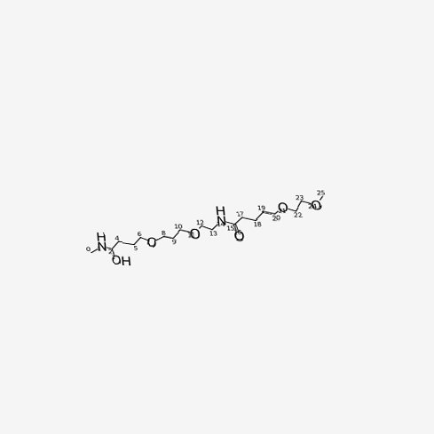 CNC(O)CCCOCCCOCCNC(=O)CCCCOCCOC